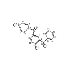 O=C(c1ccc(Cl)cc1)c1ccc(Cl)c(C(=O)c2ccccc2)c1